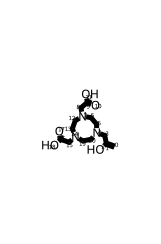 C=C(O)CN1CCN(CC(=O)O)CCN(CC(=O)O)CC1